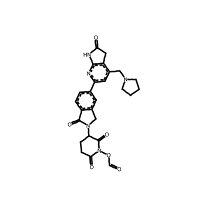 O=CON1C(=O)CCC(N2Cc3cc(-c4cc(CN5CCCC5)c5c(n4)NC(=O)C5)ccc3C2=O)C1=O